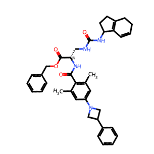 Cc1cc(N2CC(c3ccccc3)C2)cc(C)c1C(=O)N[C@@H](CNC(=O)NC1CCC2=C1C=CCC2)C(=O)OCc1ccccc1